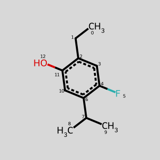 CCc1cc(F)c(C(C)C)cc1O